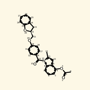 CC(=O)Oc1cccc2c1cc(C)n2C(=O)c1ccc(OC[C@@H]2Cc3ccccc3O2)cc1